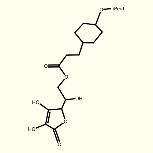 CCCCCOC1CCC(CCC(=O)OCC(O)C2OC(=O)C(O)=C2O)CC1